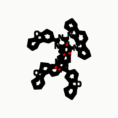 c1cc(-c2nc(-c3ccc4oc5ccccc5c4c3)nc(-c3ccc4oc5ccccc5c4c3)n2)cc(-n2c3ccccc3c3ccc4c5ccccc5n(-c5nc(-c6ccc7oc8ccccc8c7c6)nc(-c6ccc7oc8ccccc8c7c6)n5)c4c32)c1